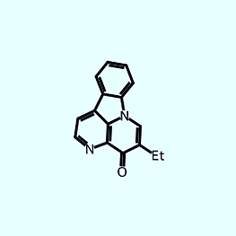 CCc1cn2c3ccccc3c3ccnc(c1=O)c32